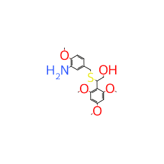 COc1cc(OC)c(C(CO)SCc2ccc(OC)c(N)c2)c(OC)c1